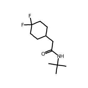 CC(C)(C)NC(=O)CC1CCC(F)(F)CC1